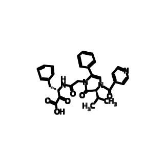 CC(C)[C@H]1C(=O)N(CC(=O)N[C@@H](Cc2ccccc2)C(=O)C(=O)O)C(c2ccccc2)=CN1C(=O)c1ccncc1